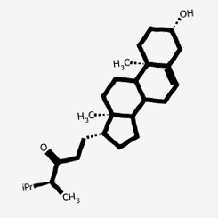 CC(C)[C@H](C)C(=O)CC[C@H]1CCC2C3CC=C4C[C@@H](O)CC[C@]4(C)C3CC[C@@]21C